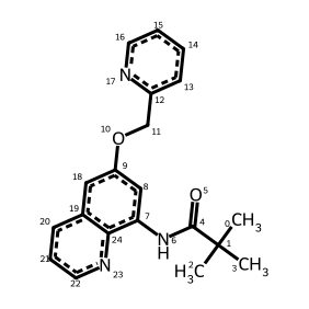 CC(C)(C)C(=O)Nc1cc(OCc2ccccn2)cc2cccnc12